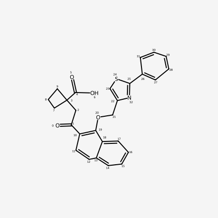 O=C(CC1(C(=O)O)CCC1)c1ccc2ccccc2c1OCc1csc(-c2ccccc2)n1